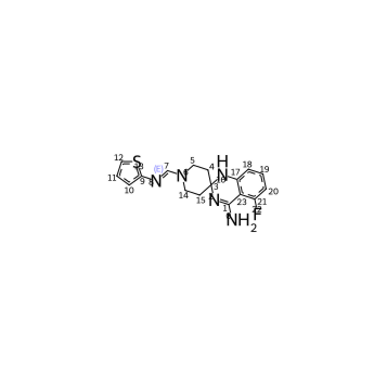 NC1=NC2(CCN(/C=N/c3cccs3)CC2)Nc2cccc(F)c21